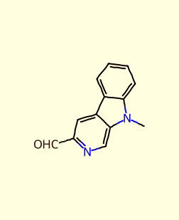 Cn1c2ccccc2c2cc(C=O)ncc21